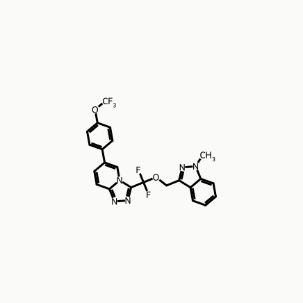 Cn1nc(COC(F)(F)c2nnc3ccc(-c4ccc(OC(F)(F)F)cc4)cn23)c2ccccc21